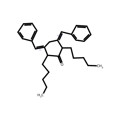 CCCCCC1C(=O)C(CCCCC)/C(=C/c2ccccc2)C/C1=C/c1ccccc1